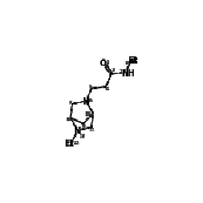 CCNC(=O)CCN1CC2CC1CN2CC